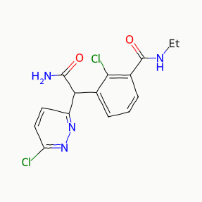 CCNC(=O)c1cccc(C(C(N)=O)c2ccc(Cl)nn2)c1Cl